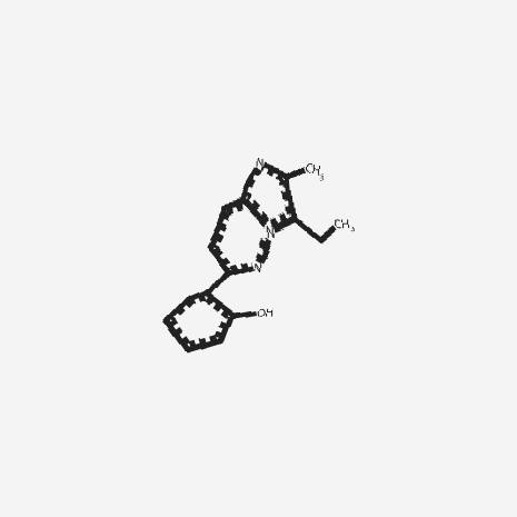 CCc1c(C)nc2ccc(-c3ccccc3O)nn12